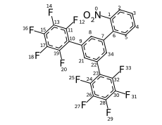 O=[N+]([O-])c1ccccc1-c1cc(-c2c(F)c(F)c(F)c(F)c2F)cc(-c2c(F)c(F)c(F)c(F)c2F)c1